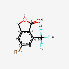 O=C1OCc2cc(Br)cc(C(F)(F)F)c21